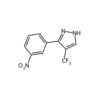 O=[N+]([O-])c1cccc(-c2n[nH]cc2C(F)(F)F)c1